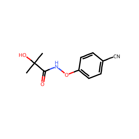 CC(C)(O)C(=O)NOc1ccc(C#N)cc1